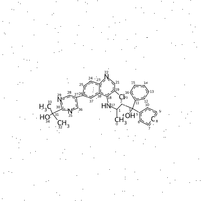 CC(CC(O)(c1ccccc1)c1ccccc1)Nc1c(Cl)cnc2ccc(-c3cnc(C(C)(C)O)nc3)cc12